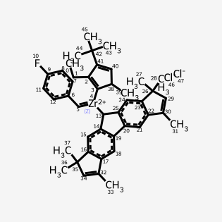 CCC1=[C](/[Zr+2](=[CH]\c2ccc(F)cc2)[CH]2c3cc4c(cc3-c3cc5c(cc32)C(C)(C)C=C5C)C(C)=CC4(C)C)C(C)C=C1C(C)(C)C.[Cl-].[Cl-]